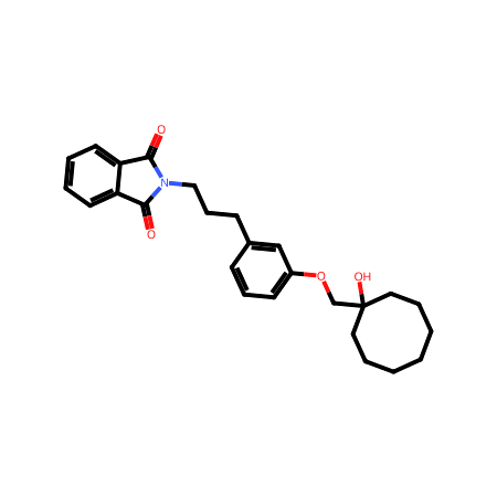 O=C1c2ccccc2C(=O)N1CCCc1cccc(OCC2(O)CCCCCCC2)c1